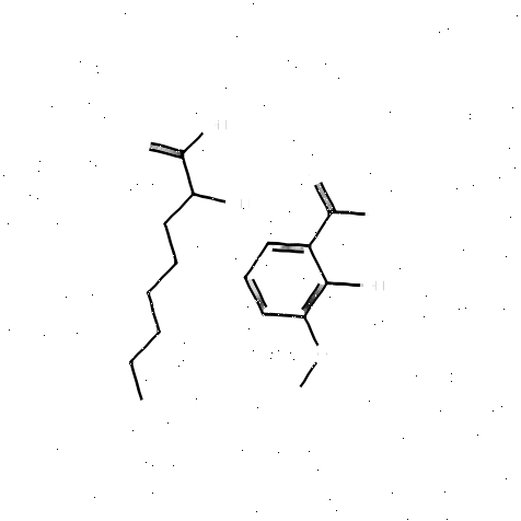 CCCCCCC(O)C(=O)O.COc1cccc(C(=O)O)c1O